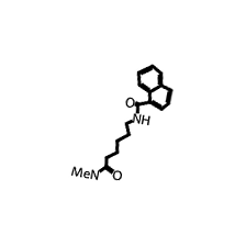 CNC(=O)CCCCCNC(=O)c1cccc2ccccc12